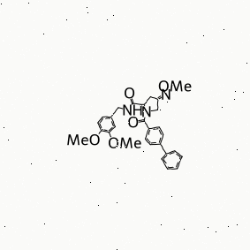 CO/N=C1\CC(C(=O)NCc2ccc(OC)c(OC)c2)N(C(=O)c2ccc(-c3ccccc3)cc2)C1